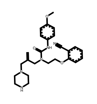 C=C(CN1CCNCC1)CN(CCOc1ccccc1C#N)C(=O)Nc1ccc(OC)cc1